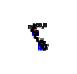 CCC(C)(CC(=O)O)Cc1nc(CCCc2ccc3c(n2)NCCC3)no1